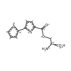 N[C@@H](COC(=O)c1ccc(-c2cccs2)s1)C(=O)O